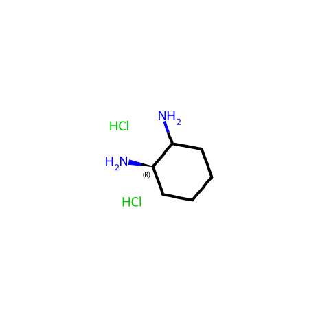 Cl.Cl.NC1CCCC[C@H]1N